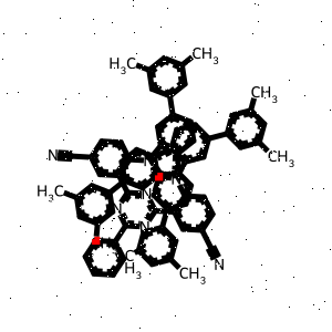 Cc1cc(C)cc(-c2ccc3c4ccc(-c5cc(C)cc(C)c5)cc4n(-c4ccc(C#N)cc4-c4nc(-c5ccccc5)nc(-c5cc(C#N)ccc5-n5c6cc(-c7cc(C)cc(C)c7)ccc6c6ccc(-c7cc(C)cc(C)c7)cc65)n4)c3c2)c1